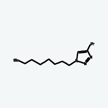 CC(C)c1cn(CCCCCCCC(C)(C)C)nn1